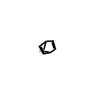 C1=CC2C=C[C]1N2